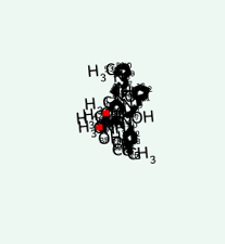 CC[C@H](C)[C@@H](C(=O)N[C@@H](Cc1ccccc1)[C@@H](O)CN(Cc1ccc(OC)c(OC)c1)NC(=O)[C@@H](NC(=O)O)C(C)(C)C)N1CCN(Cc2cccc(C)n2)C1=O